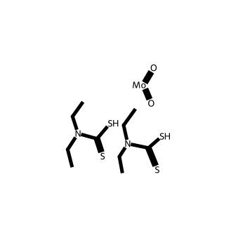 CCN(CC)C(=S)S.CCN(CC)C(=S)S.[O]=[Mo]=[O]